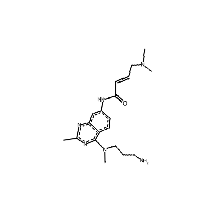 Cc1nc(N(C)CCCN)c2ccc(NC(=O)/C=C/CN(C)C)cc2n1